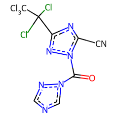 N#Cc1nc(C(Cl)(Cl)C(Cl)(Cl)Cl)nn1C(=O)n1cncn1